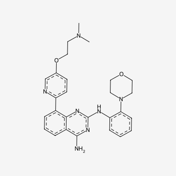 CN(C)CCOc1ccc(-c2cccc3c(N)nc(Nc4ccccc4N4CCOCC4)nc23)nc1